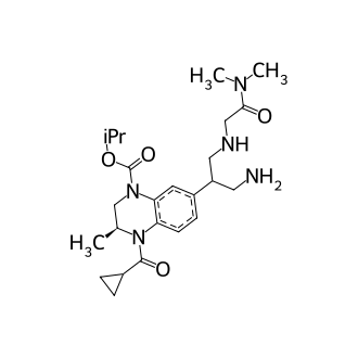 CC(C)OC(=O)N1C[C@H](C)N(C(=O)C2CC2)c2ccc(C(CN)CNCC(=O)N(C)C)cc21